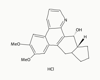 COc1cc2c3c(c4ncccc4c2cc1OC)[C@H](O)[C@@H]1CCCC1C3.Cl